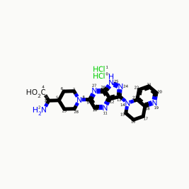 Cl.Cl.NC(C(=O)O)C1CCN(c2cnc3c(N4CCCc5ncccc54)n[nH]c3n2)CC1